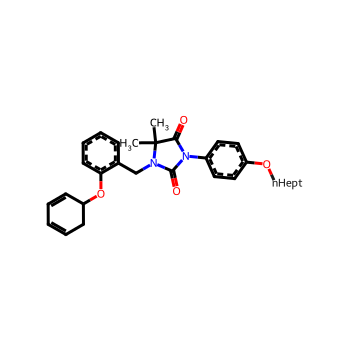 CCCCCCCOc1ccc(N2C(=O)N(Cc3ccccc3OC3C=CC=CC3)C(C)(C)C2=O)cc1